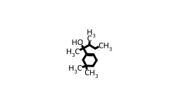 CCC(C)C(C)(O)C1=CCCC(C)(C)C1